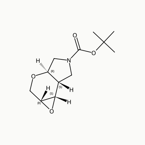 CC(C)(C)OC(=O)N1C[C@@H]2[C@@H]3O[C@@H]3CO[C@H]2C1